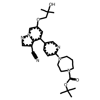 CC(C)(O)COc1cc(-c2ccc(N3CCCN(C(=O)OC(C)(C)C)CC3)nc2)c2c(C#N)cnn2c1